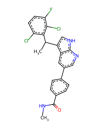 CNC(=O)c1ccc(-c2cnc3[nH]cc(C(C)c4c(Cl)ccc(F)c4Cl)c3c2)cc1